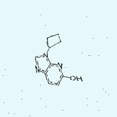 Oc1ccc2ncn(C3CCC3)c2n1